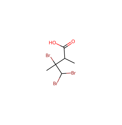 CC(C(=O)O)C(C)(Br)C(Br)Br